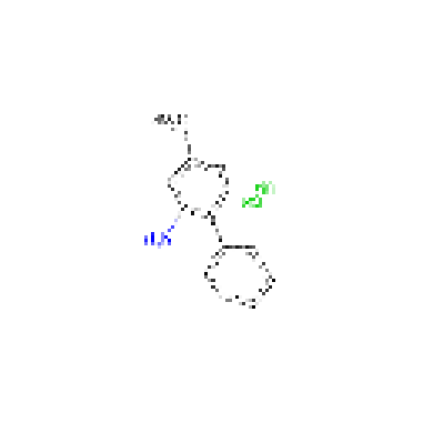 Cl.Cl.Nc1cc(C(=O)O)ccc1-c1ccccc1